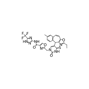 CCc1nc2c(o1)C=Cc1cc(C)ccc1C2c1cn(Cc2nc(C(=O)Nc3n[nH]c(C(F)(F)F)n3)co2)c(=O)[nH]c1=S